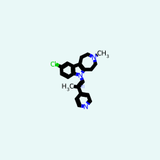 C/C(=C\n1c2c(c3cc(Cl)ccc31)CCN(C)CC2)c1ccncc1